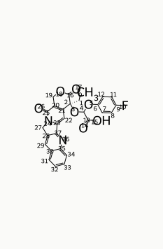 CC[C@@]1(OC(Oc2ccc(F)cc2)C(=O)O)C(=O)OCc2c1cc1n(c2=O)Cc2cc3ccccc3nc2-1